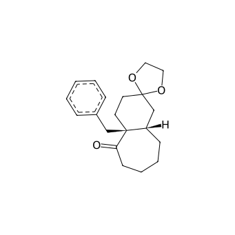 O=C1CCCC[C@H]2CC3(CC[C@@]12Cc1ccccc1)OCCO3